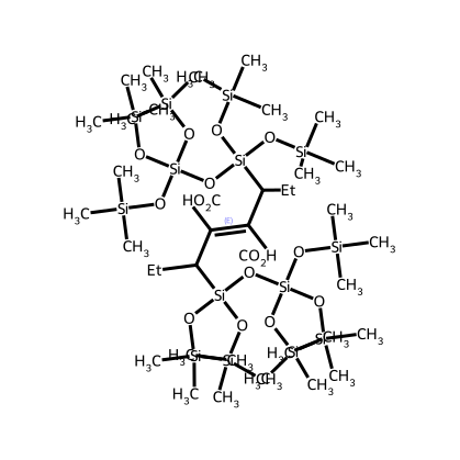 CCC(/C(C(=O)O)=C(\C(=O)O)C(CC)[Si](O[Si](C)(C)C)(O[Si](C)(C)C)O[Si](O[Si](C)(C)C)(O[Si](C)(C)C)O[Si](C)(C)C)[Si](O[Si](C)(C)C)(O[Si](C)(C)C)O[Si](O[Si](C)(C)C)(O[Si](C)(C)C)O[Si](C)(C)C